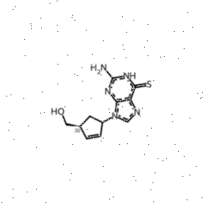 Nc1nc2c(ncn2C2C=C[C@@H](CO)C2)c(=S)[nH]1